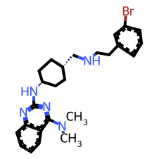 CN(C)c1nc(N[C@H]2CC[C@@H](CNCCc3cccc(Br)c3)CC2)nc2ccccc12